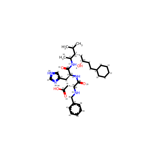 CC(C)[C@H](C[C@@H](O)CCC1CCCCC1)C(C)NC(=O)[C@H](Cc1c[nH]cn1)NC(=O)[C@@H](CC(=O)O)NCc1ccccc1